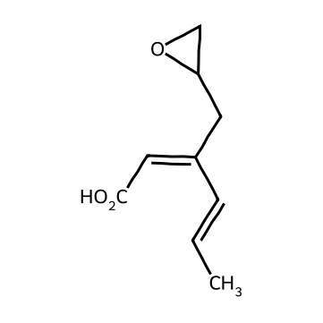 CC=CC(=CC(=O)O)CC1CO1